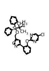 CC(C)(C)[Si](OCc1cc(-c2ccccc2Oc2ncc(Cl)cn2)no1)(c1ccccc1)c1ccccc1